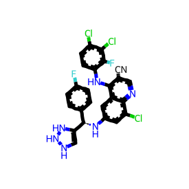 N#Cc1cnc2c(Cl)cc(N[C@H](C3=CNNN3)c3ccc(F)cc3)cc2c1Nc1ccc(Cl)c(Cl)c1F